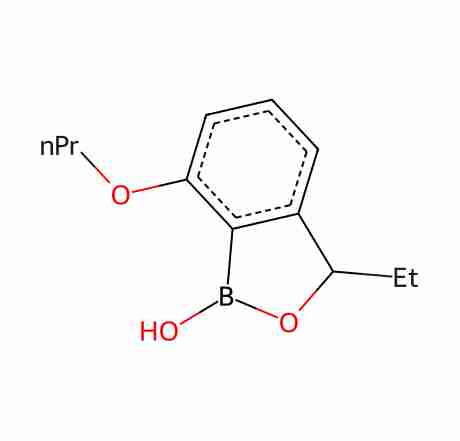 CCCOc1cccc2c1B(O)OC2CC